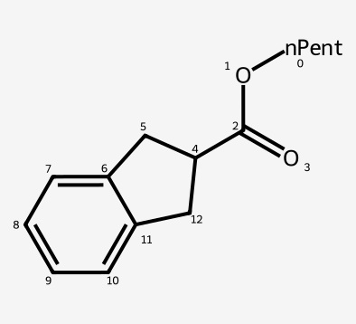 CCCCCOC(=O)C1Cc2ccccc2C1